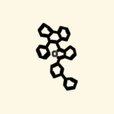 c1cccc(-c2c(-c3oc(-c4cccc(-c5ccccc5)c4)c4c3CCC=C4)c3ccccc3c3ccccc23)c#1